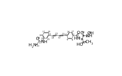 C[C@@H](O)[C@H](NC(=O)c1ccc(C#CC#Cc2cccc(NC(=O)CN)c2)cc1)C(=O)NO